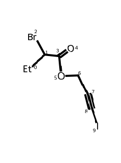 CCC(Br)C(=O)OCC#CI